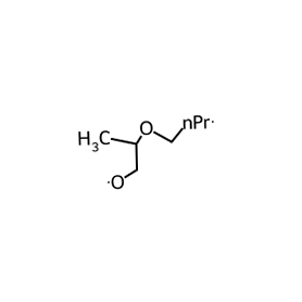 CC[CH]COC(C)C[O]